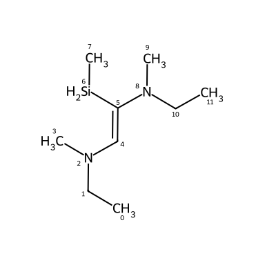 CCN(C)C=C([SiH2]C)N(C)CC